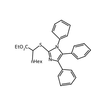 CCCCCCC(Sc1nc(-c2ccccc2)c(-c2ccccc2)n1-c1ccccc1)C(=O)OCC